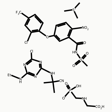 CCNc1nc(Cl)nc(NC(C)(C)C#N)n1.CS(=O)(=O)NC(=O)c1cc(Oc2ccc(C(F)(F)F)cc2Cl)ccc1[N+](=O)[O-].C[S+](C)C.O=C(O)CNCP(=O)([O-])O